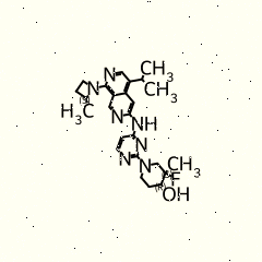 CC(C)c1cnc(N2CC[C@@H]2C)c2cnc(Nc3ccnc(N4CC[C@@H](O)[C@@](C)(F)C4)n3)cc12